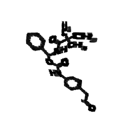 CC(C)(C)C(=O)NC(OC(=O)Nc1ccc(C[C]=O)cc1)c1ccccc1